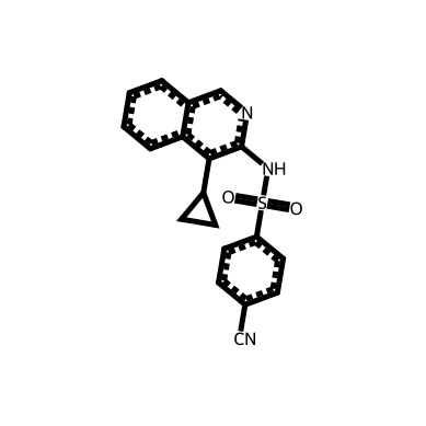 N#Cc1ccc(S(=O)(=O)Nc2ncc3ccccc3c2C2CC2)cc1